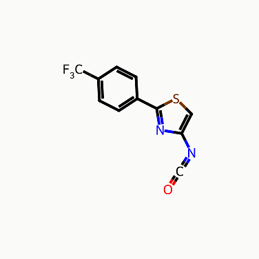 O=C=Nc1csc(-c2ccc(C(F)(F)F)cc2)n1